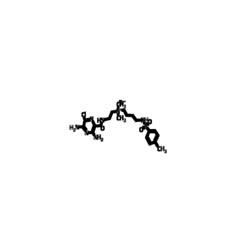 Cc1ccc(S(=O)(=O)NCCCC[N+](C)(C)CCNC(=O)c2nc(Cl)c(N)nc2N)cc1.[Br-]